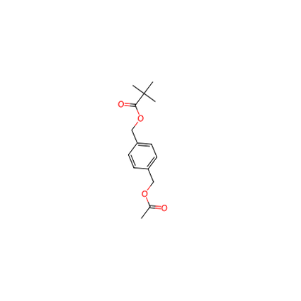 CC(=O)OCc1ccc(COC(=O)C(C)(C)C)cc1